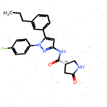 CCCc1cccc(-c2cc(NC(=O)[C@@H]3CNC(=O)C3)nn2-c2ccc(F)cc2)c1